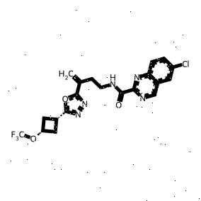 C=C(CCNC(=O)c1ncc2cc(Cl)ccc2n1)c1nnc([C@H]2C[C@@H](OC(F)(F)F)C2)o1